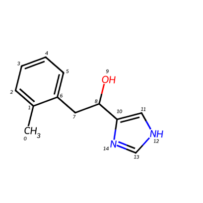 Cc1ccccc1CC(O)c1c[nH]cn1